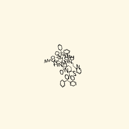 CON=C(C(=O)N[C@@H]1C(=O)N2C(C(=O)OC(c3ccccc3)c3ccccc3)=C(Sc3cccnc3CCNC(=O)OC(C)(C)C)CC[C@H]12)c1nc(NC(c2ccccc2)(c2ccccc2)c2ccccc2)sc1Cl